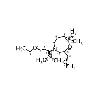 CCOCCC(N1CCC[Si](C)(C)OC(COC)C1)[SiH](C)C